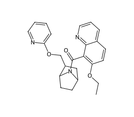 CCOc1ccc2cccnc2c1C(=O)N1C2CCC1C(COc1ccccn1)C2